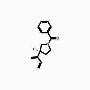 C=CC(=C)[C@]1(F)CCN(C(=O)c2ccccc2)C1